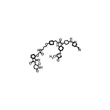 Cn1cc(-c2ccc(N(C(=O)NCc3ccc(OCCCNC(=O)COc4cccc5c4C(=O)N(C4CCC(=O)NC4=O)C5=O)cc3)C3CCC(Nc4ccc(C#N)cn4)CC3)cc2)ccc1=O